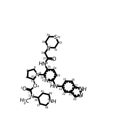 CN(C(=O)O[C@H]1CCCN1c1nc(Nc2ccc3[nH]ncc3c2)ccc1NC(=O)CN1CCSCC1)C1CCNCC1